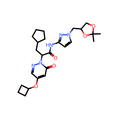 CC1(C)OCC(Cn2ccc(NC(=O)C(CC3CCCC3)n3ncc(OC4CCC4)cc3=O)n2)O1